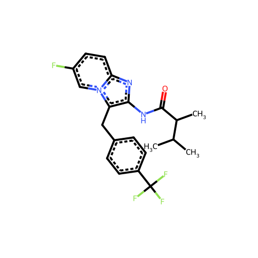 CC(C)C(C)C(=O)Nc1nc2ccc(F)cn2c1Cc1ccc(C(F)(F)F)cc1